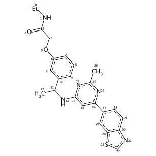 CCNC(=O)COc1cccc(C(C)Nc2cc(-c3ccc4ncsc4c3)nc(C)n2)c1